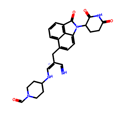 N=C/C(=C\NC1CCN(C=O)CC1)Cc1ccc2c3c(cccc13)C(=O)N2C1CCC(=O)NC1=O